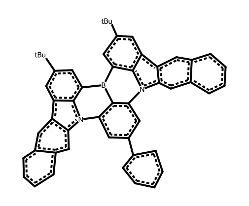 CC(C)(C)c1cc2c3c(c1)c1cc4ccccc4cc1n3-c1cc(-c3ccccc3)cc3c1B2c1cc(C(C)(C)C)cc2c4cc5ccccc5cc4n-3c12